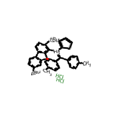 Cc1ccc([C](c2ccc(C)cc2)=[Hf]([C]2=CC=CC2)[c]2c(C(C)(C)C)ccc3c2Cc2cc(C(C)(C)C)ccc2-3)cc1.Cl.Cl